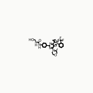 C[C@H]1COCCN1c1cc(C2(S(=O)(=O)c3ccccc3C(F)(F)F)CC2)nc(-c2ccc(NC(=O)NCO)cc2)n1